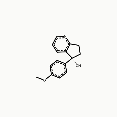 COc1ccc([C@]2(O)CCc3ncccc32)cc1